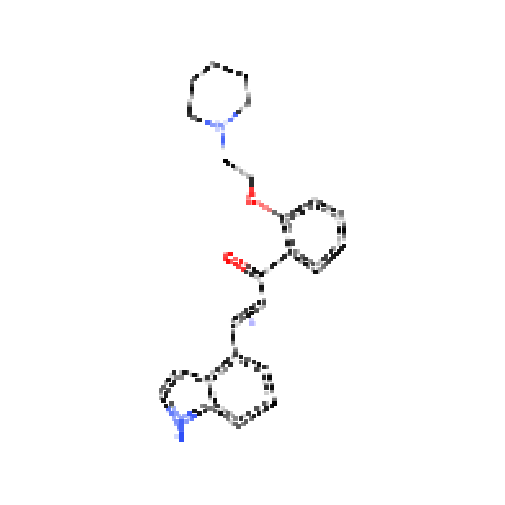 O=C(/C=C/c1cccc2[nH]ccc12)c1ccccc1OCCN1CCCCC1